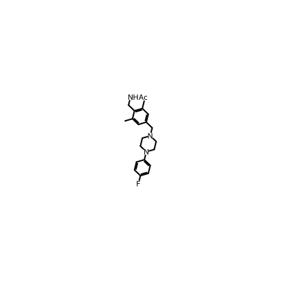 CC(=O)NCc1c(C)cc(CN2CCN(c3ccc(F)cc3)CC2)cc1C